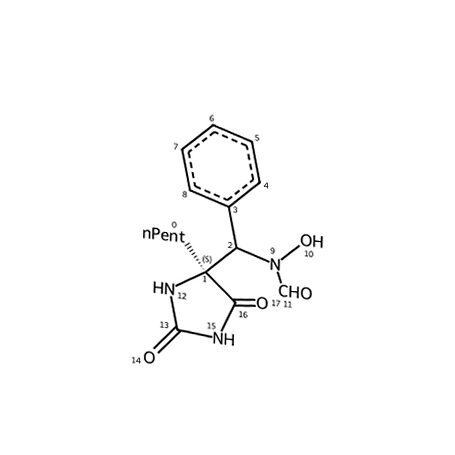 CCCCC[C@@]1(C(c2ccccc2)N(O)C=O)NC(=O)NC1=O